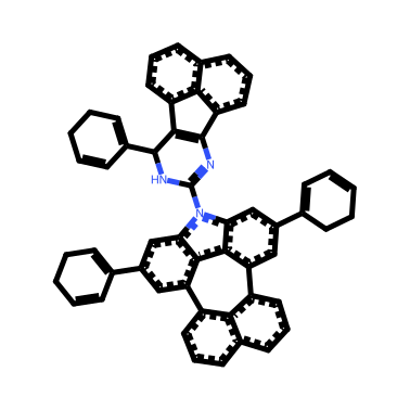 C1=CCCC(c2cc3c4c5c(cc(C6=CCCC=C6)cc5n(C5=NC6=C(c7cccc8cccc6c78)C(C6=CCCC=C6)N5)c4c2)-c2cccc4cccc-3c24)=C1